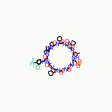 CC(C)C[C@H]1C(=O)N[C@@H](CCS(C)(=O)=O)C(=O)N(C)CC(=O)N(C)CC(=O)N(C)[C@@H](CC2CCCCC2)C(=O)N(C)CC(=O)N[C@@H](CCc2ccc(C(F)(F)F)c(Cl)c2)C(=O)N2CCC[C@H]2C(=O)NC2(CCCC2)C(=O)N(C)[C@@H](C2CCCCC2)C(=O)N(C)[C@H](C(=O)N2CCCCC2)CC(=O)N1C